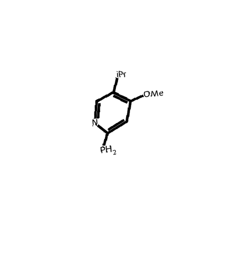 COc1cc(P)ncc1C(C)C